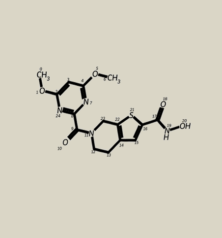 COc1cc(OC)nc(C(=O)N2CCc3cc(C(=O)NO)sc3C2)n1